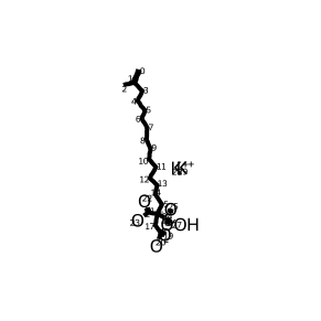 C=C(C)CCCCCCCCCCCCCC(CC(=O)[O-])(C(=O)[O-])S(=O)(=O)O.[K+].[K+]